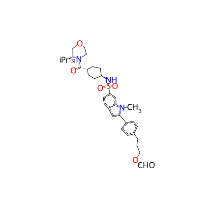 CC(C)[C@H]1COCCN1C(=O)[C@H]1CC[C@H](NS(=O)(=O)c2ccc3cc(-c4ccc(CCCOC=O)cc4)n(C)c3c2)CC1